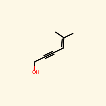 CC(C)=CC#CCO